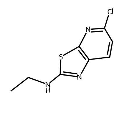 CCNc1nc2ccc(Cl)nc2s1